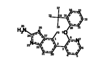 Cc1c(-c2cccnc2Oc2ccccc2C(C)(C)C)ccc2nc(N)sc12